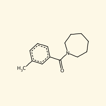 Cc1cccc(C(=O)N2CCCCCC2)c1